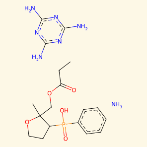 CCC(=O)OCC1(C)OCCC1P(=O)(O)c1ccccc1.N.Nc1nc(N)nc(N)n1